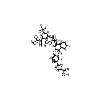 COC(=O)Nc1cc(C(C)(C)C)cc(NC(=O)Nc2ccc(Oc3ccnc(-c4nc(C(=O)O)cs4)c3)c3ccccc23)c1OC